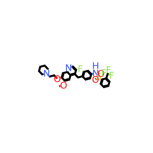 COc1cc2c(Cc3ccc(NS(=O)(=O)c4ccccc4C(F)(F)F)cc3F)ccnc2cc1OCCN1CCCCC1